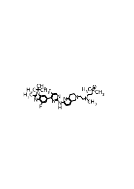 Cc1nc2c(F)cc(-c3nc(Nc4ccc5c(n4)CCN(CCN(C)CCP(C)(C)=O)C5)ncc3F)cc2n1C(C)(C)C